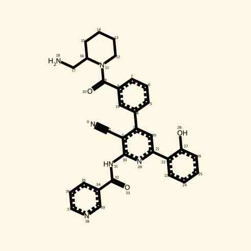 N#Cc1c(-c2cccc(C(=O)N3CCCCC3CN)c2)cc(-c2ccccc2O)nc1NC(=O)c1cccnc1